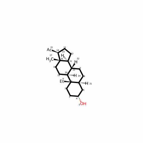 CC[C@]12CC[C@@H](O)C[C@@H]1CC[C@H]1[C@@H]3CC[C@H](C(C)=O)[C@@]3(C)CC[C@@H]12